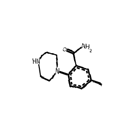 Cc1ccc(N2CCNCC2)c(C(N)=O)c1